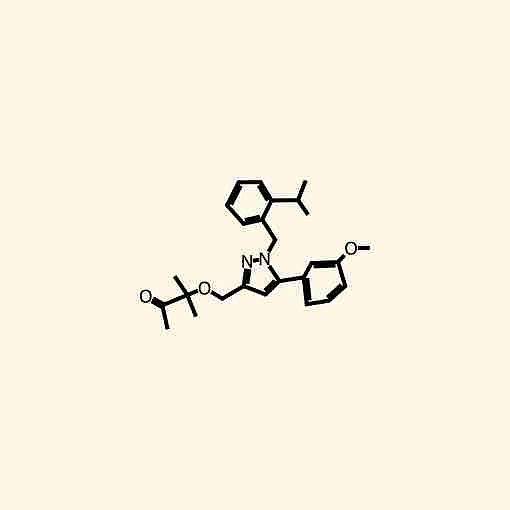 COc1cccc(-c2cc(COC(C)(C)C(C)=O)nn2Cc2ccccc2C(C)C)c1